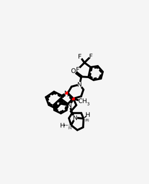 Cc1nc2ccccc2n1C1C[C@H]2CC[C@@H](C1)N2CCC1(c2ccccc2)CCN(C(=O)c2ccccc2C(F)(F)F)CC1